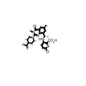 Cc1cc([C@H](C)Nc2ccc(Cl)nc2C(=O)O)c2nc(N3CCC(C(F)F)CC3)n(C)c(=O)c2c1